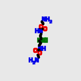 Cl.Cl.NCCOC(=O)NCCCCCCNC(=O)OCCN